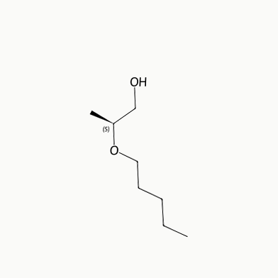 CCCCCO[C@@H](C)CO